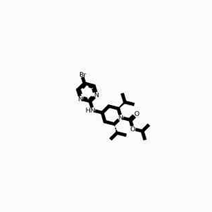 CC(C)OC(=O)N1[C@H](C(C)C)CC(Nc2ncc(Br)cn2)C[C@H]1C(C)C